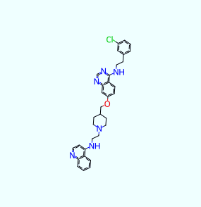 Clc1cccc(CCNc2ncnc3cc(OCC4CCN(CCNc5ccnc6ccccc56)CC4)ccc23)c1